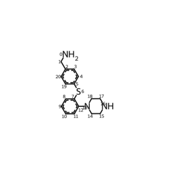 NCc1ccc(Sc2ccccc2N2CCNCC2)cc1